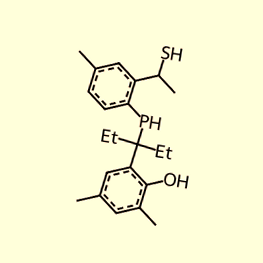 CCC(CC)(Pc1ccc(C)cc1C(C)S)c1cc(C)cc(C)c1O